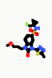 COCCCn1c(=O)n(-c2nnc(C)s2)c2cc(S(=O)(=O)NC3(CF)CC3)ccc21